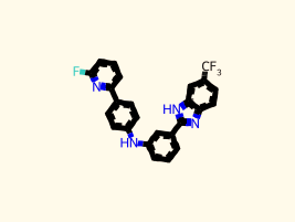 Fc1cccc(-c2ccc(Nc3cccc(-c4nc5ccc(C(F)(F)F)cc5[nH]4)c3)cc2)n1